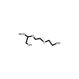 COC(CO)OCCOCCO